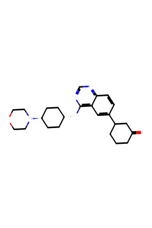 O=C1CCCC(c2ccc3ncnc(N[C@H]4CC[C@H](N5CCOCC5)CC4)c3c2)C1